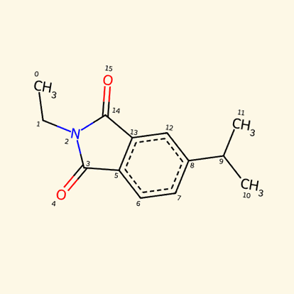 CCN1C(=O)c2ccc(C(C)C)cc2C1=O